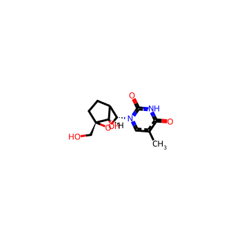 Cc1cn([C@@H]2O[C@]3(CO)CCC2[C@H]3O)c(=O)[nH]c1=O